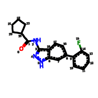 O=C(Nc1n[nH]c2cc(-c3ccccc3F)ccc12)C1CCCC1